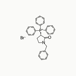 O=C1[C@H]([P+](c2ccccc2)(c2ccccc2)c2ccccc2)CCN1Cc1ccccc1.[Br-]